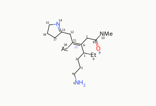 CCC(CCCN)/C(CC(=O)NC)=C(/CC1=NCCC1)C(C)=O